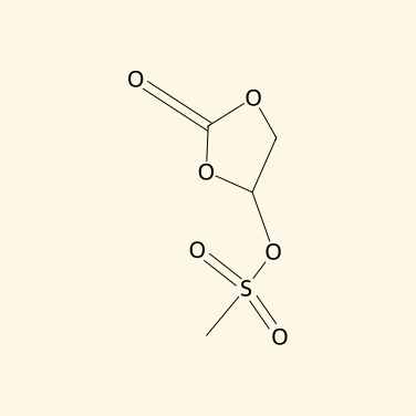 CS(=O)(=O)OC1COC(=O)O1